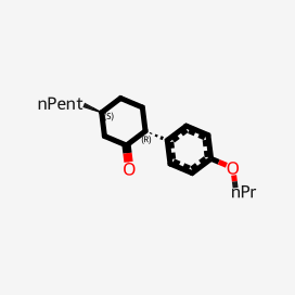 CCCCC[C@H]1CC[C@H](c2ccc(OCCC)cc2)C(=O)C1